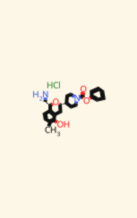 Cc1ccc2c(c1O)C[C@@H](C1CCN(C(=O)Oc3ccccc3)CC1)O[C@H]2CN.Cl